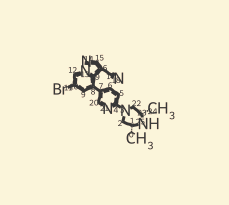 C[C@@H]1CN(c2ccc(-c3cc(Br)cn4ncc(C#N)c34)cn2)C[C@H](C)N1